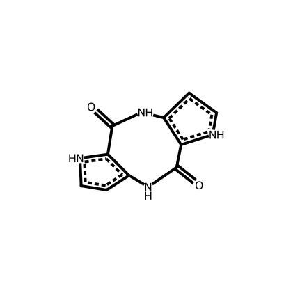 O=C1Nc2cc[nH]c2C(=O)Nc2cc[nH]c21